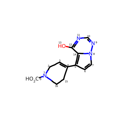 O=C(O)N1CC=C(c2ccn3ncnc(O)c23)CC1